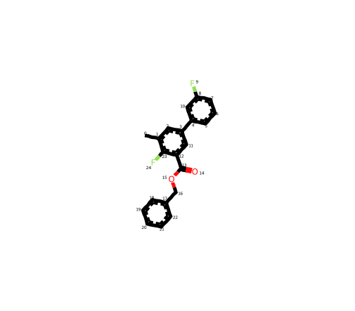 Cc1cc(-c2cccc(F)c2)cc(C(=O)OCc2ccccc2)c1F